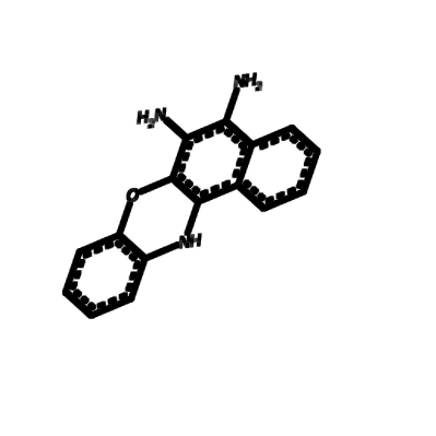 Nc1c2c(c3ccccc3c1N)Nc1ccccc1O2